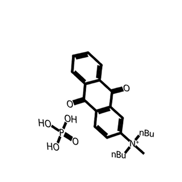 CCCC[N+](C)(CCCC)c1ccc2c(c1)C(=O)c1ccccc1C2=O.O=P(O)(O)O